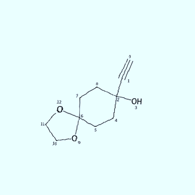 C#CC1(O)CCC2(CC1)OCCO2